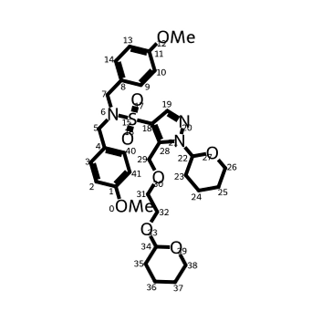 COc1ccc(CN(Cc2ccc(OC)cc2)S(=O)(=O)c2cnn(C3CCCCO3)c2COCCOC2CCCCO2)cc1